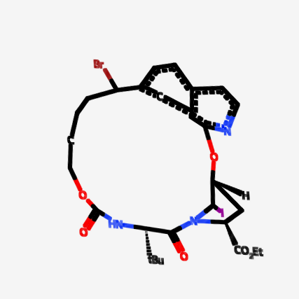 CCOC(=O)[C@@H]1C[C@H]2Oc3nccc4ccc(cc34)C(Br)CCCCOC(=O)N[C@@H](C(C)(C)C)C(=O)N1C2I